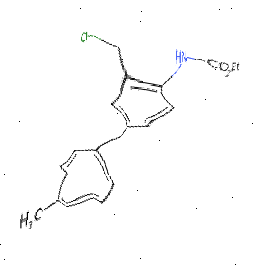 CCOC(=O)Nc1ccc(-c2ccc(C)cc2)cc1CCl